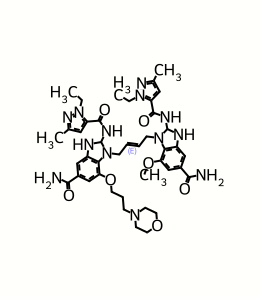 CCn1nc(C)cc1C(=O)NC1Nc2cc(C(N)=O)cc(OC)c2N1C/C=C/CN1c2c(cc(C(N)=O)cc2OCCCN2CCOCC2)NC1NC(=O)c1cc(C)nn1CC